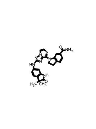 CC1(C)C(=O)Nc2cc(Nc3nc4c(N5CCc6ccc(C(N)=O)cc65)nccn4n3)ccc21